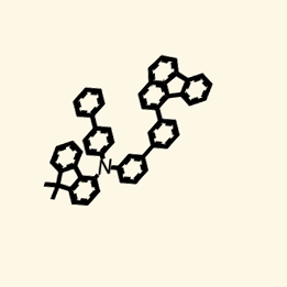 CC1(C)c2ccccc2-c2c(N(c3ccc(-c4ccccc4)cc3)c3cccc(-c4cccc(-c5ccc6cccc7c6c5-c5ccccc5-7)c4)c3)cccc21